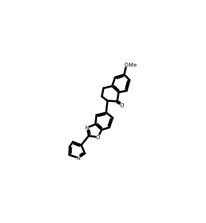 COc1ccc2c(c1)CCC(c1ccc3oc(-c4cccnc4)nc3c1)C2=O